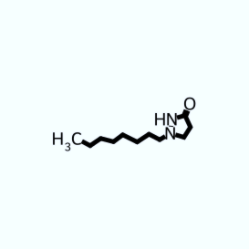 CCCCCCCCN1CCC(=O)N1